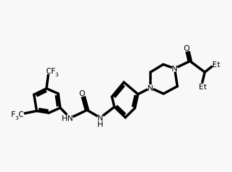 CCC(CC)C(=O)N1CCN(c2ccc(NC(=O)Nc3cc(C(F)(F)F)cc(C(F)(F)F)c3)cc2)CC1